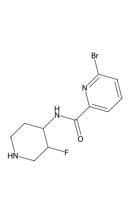 O=C(NC1CCNCC1F)c1cccc(Br)n1